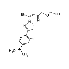 CCc1cc(COCO)nc2cc(-c3ccc(N(C)C)cc3F)nn12